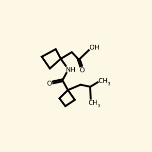 CC(C)CC1(C(=O)NC2(CC(=O)O)CCC2)CCC1